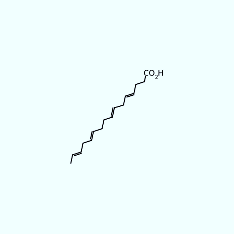 CC=CCC=CCCC=CCC=CCCC(=O)O